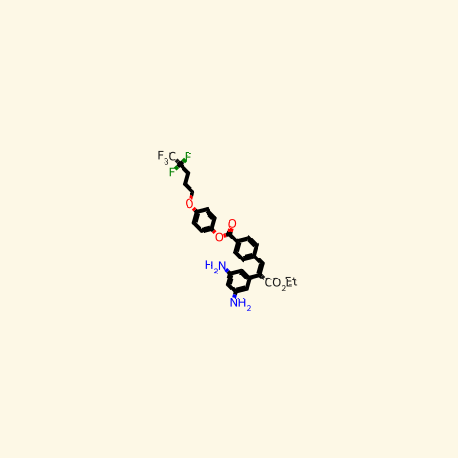 CCOC(=O)C(=Cc1ccc(C(=O)Oc2ccc(OCCCC(F)(F)C(F)(F)F)cc2)cc1)c1cc(N)cc(N)c1